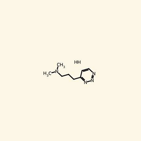 CN(C)CCCc1ccnnn1.[HH]